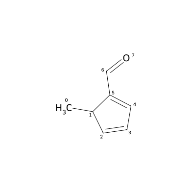 CC1C=CC=C1C=O